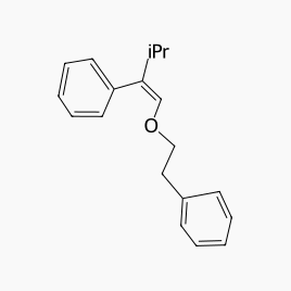 CC(C)C(=COCCc1ccccc1)c1ccccc1